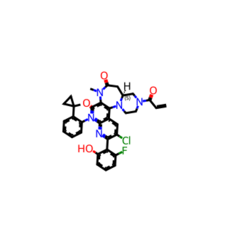 C=CC(=O)N1CCN2c3c(c(=O)n(-c4ccccc4C4(C)CC4)c4nc(-c5c(O)cccc5F)c(Cl)cc34)N(C)C(=O)C[C@H]2C1